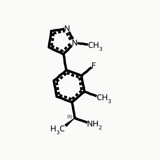 Cc1c([C@H](C)N)ccc(-c2ccnn2C)c1F